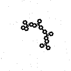 c1ccc(N(c2ccccc2)c2ccc3cc(N(c4ccccc4)c4ccc(-c5ccc(N(c6ccccc6)c6ccc7cc(N(c8ccccc8)c8cccc9ccccc89)ccc7c6)cc5)cc4)ccc3c2)cc1